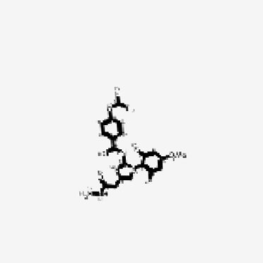 COc1cc(F)c(-n2cc(CC(=O)NN)nc2NC(=O)c2ccc(OC(F)F)cc2)c(F)c1